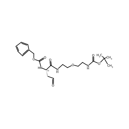 CC(C)(C)OC(=O)NCCOCCNC(=O)[C@H](CC=O)NC(=O)OCc1ccccc1